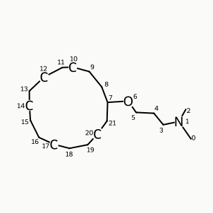 CN(C)CCCOC1CCCCCCCCCCCCCC1